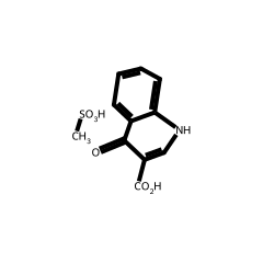 CS(=O)(=O)O.O=C(O)c1c[nH]c2ccccc2c1=O